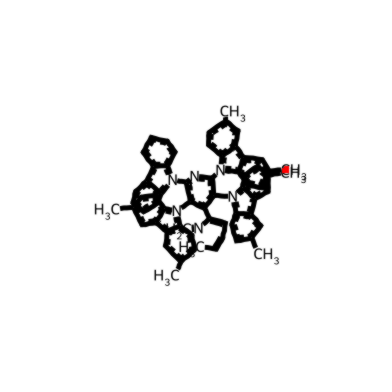 C=N/C(=C\C=C/C)c1c(-n2c3ccc(C)cc3c3cc(C)ccc32)c(-n2c3ccccc3c3ccccc32)nc(-n2c3ccc(C)cc3c3cc(C)ccc32)c1-n1c2ccc(C)cc2c2cc(C)ccc21